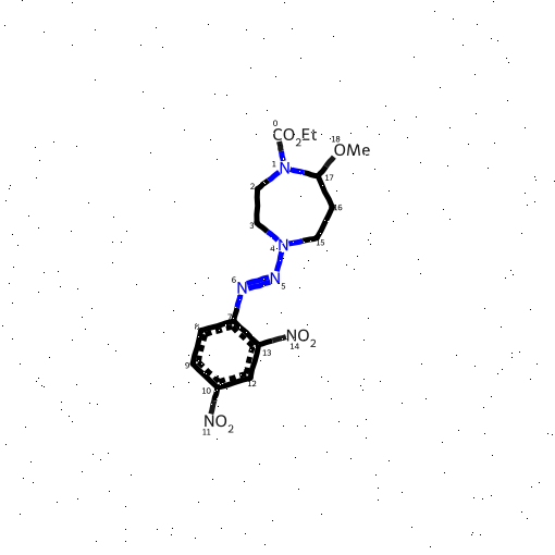 CCOC(=O)N1CCN(N=Nc2ccc([N+](=O)[O-])cc2[N+](=O)[O-])CCC1OC